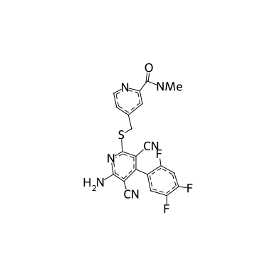 CNC(=O)c1cc(CSc2nc(N)c(C#N)c(-c3cc(F)c(F)cc3F)c2C#N)ccn1